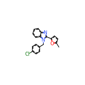 Cc1ccc(-c2nc3ccccc3n2Cc2ccc(Cl)cc2)o1